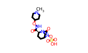 CN1CCC(ONC(=O)[C@@H]2CCC3CN2C(=O)N3OS(=O)(=O)O)CC1